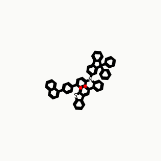 c1ccc(C2(c3ccccc3)c3ccccc3-c3ccc(N(c4ccc(-c5ccc(-c6cccc7ccccc67)cc5)cc4)c4ccccc4-c4ccc5sc6ccccc6c5c4)cc32)cc1